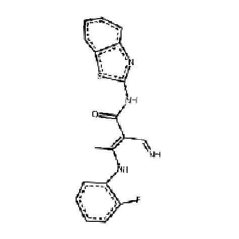 C/C(Nc1ccccc1F)=C(/C=N)C(=O)Nc1nc2ccccc2s1